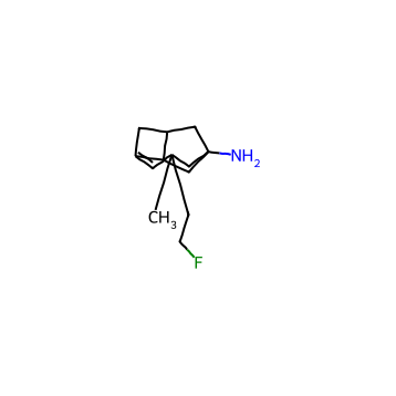 CC1(CCF)C=C2CC3CC(N)(CC23)C1